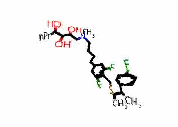 C=C(SCc1c(F)cc(CCCCN(C)CC(O)C(O)C(O)CCC)cc1F)C(C)c1ccc(F)cc1